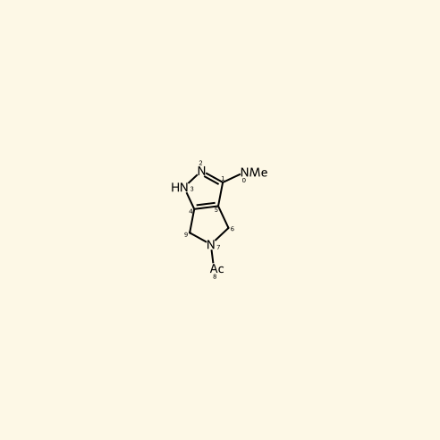 CNc1n[nH]c2c1CN(C(C)=O)C2